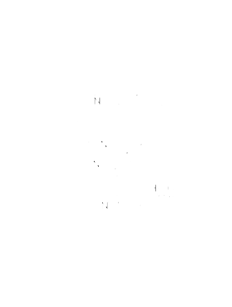 Cc1cnc2ccccc2n1.Cc1cnc2ccccc2n1.O